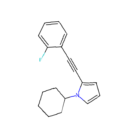 Fc1ccccc1C#Cc1cccn1C1CCCCC1